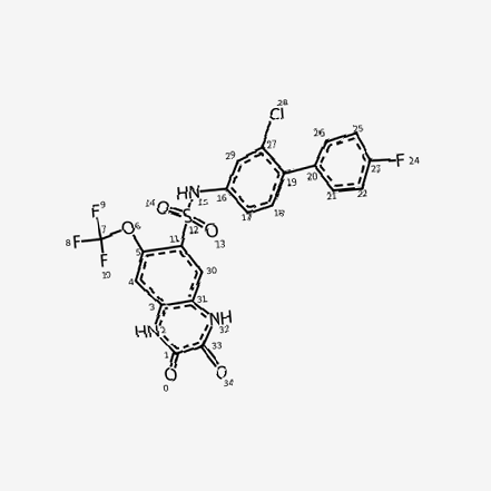 O=c1[nH]c2cc(OC(F)(F)F)c(S(=O)(=O)Nc3ccc(-c4ccc(F)cc4)c(Cl)c3)cc2[nH]c1=O